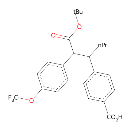 CCCC(c1ccc(C(=O)O)cc1)C(C(=O)OC(C)(C)C)c1ccc(OC(F)(F)F)cc1